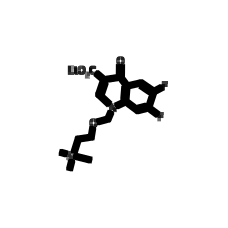 CCOC(=O)c1cn(COCC[Si](C)(C)C)c2cc(F)c(F)cc2c1=O